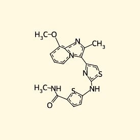 CNC(=O)c1ccc(Nc2nc(-c3c(C)nc4c(OC)cccn34)cs2)s1